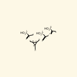 C=C(C)C(=O)O.C=C(C)C(=O)O.C=C(C)C(=O)O.CC1C(C)C1C